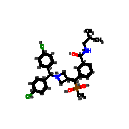 CC(C)CNC(=O)c1cccc(C(=C2CN(C(c3ccc(Cl)cc3)c3ccc(Cl)cc3)C2)S(C)(=O)=O)c1